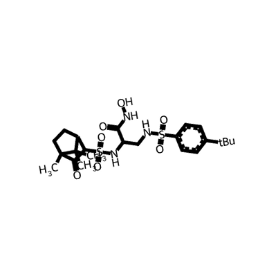 CC(C)(C)c1ccc(S(=O)(=O)NCC(NS(=O)(=O)C2C(=O)C3(C)CCC2C3(C)C)C(=O)NO)cc1